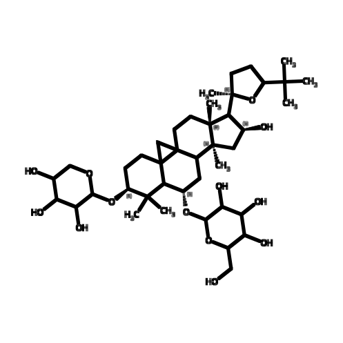 CC(C)(C)C1CC[C@](C)(C2[C@@H](O)C[C@@]3(C)C4C[C@H](OC5OC(CO)C(O)C(O)C5O)C5C(C)(C)[C@@H](OC6OCC(O)C(O)C6O)CCC56CC46CC[C@]23C)O1